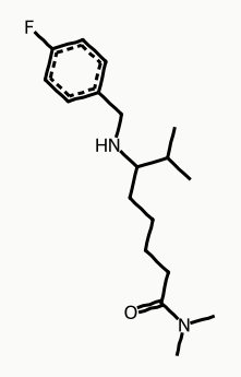 CC(C)C(CCCCC(=O)N(C)C)NCc1ccc(F)cc1